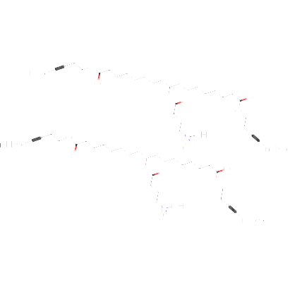 CCCCCCC#CCCOC(=O)CCCCCCCC(CCCCCCCC(=O)OCCC#CCCCCCC)OC(=O)CCCN(C)C.CCCCCCC#CCCOC(=O)CCCCCCCC(CCCCCCCC(=O)OCCC#CCCCCCC)OC(=O)CCCN(C)C